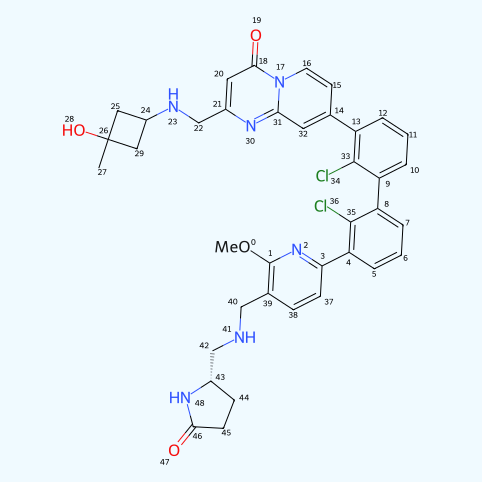 COc1nc(-c2cccc(-c3cccc(-c4ccn5c(=O)cc(CNC6CC(C)(O)C6)nc5c4)c3Cl)c2Cl)ccc1CNC[C@@H]1CCC(=O)N1